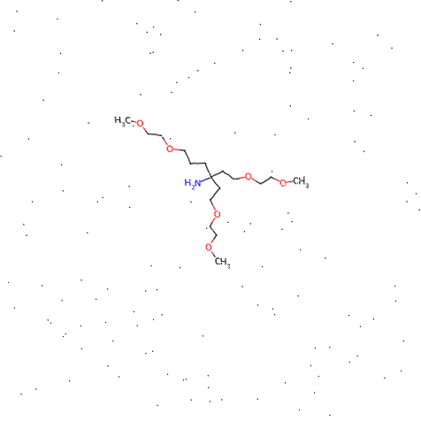 COCCOCCCC(N)(CCOCCOC)CCOCCOC